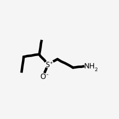 CCC(C)[S+]([O-])CCN